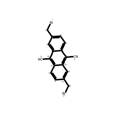 N#Cc1c2ccc(CBr)cc2c(C#N)c2ccc(CBr)cc12